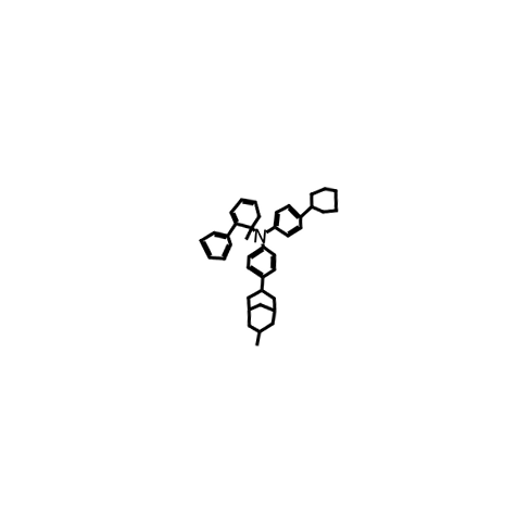 CC1CC2CC(C1)CC(c1ccc(N(c3ccc(C4CCCCC4)cc3)C3(C)CC=CC=C3c3ccccc3)cc1)C2